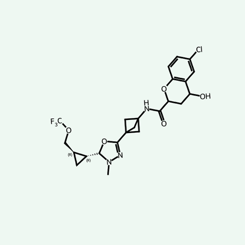 CN1N=C(C23CC(NC(=O)C4CC(O)c5cc(Cl)ccc5O4)(C2)C3)OC1[C@@H]1C[C@H]1COC(F)(F)F